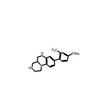 COc1ccc(-c2ccc3c(c2)NCC2CNCCN32)c(C)c1